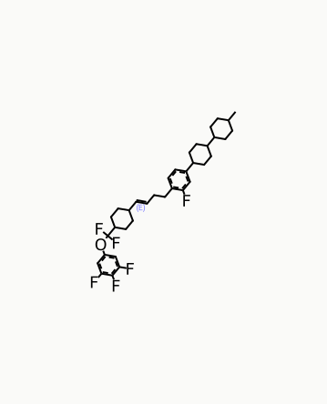 CC1CCC(C2CCC(c3ccc(CC/C=C/C4CCC(C(F)(F)Oc5cc(F)c(F)c(F)c5)CC4)c(F)c3)CC2)CC1